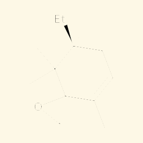 CC[C@H]1CC=C(C)[C@]2(CO2)C1(C)C